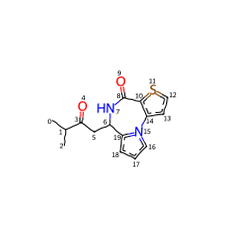 CC(C)C(=O)CC1NC(=O)c2sccc2-n2cccc21